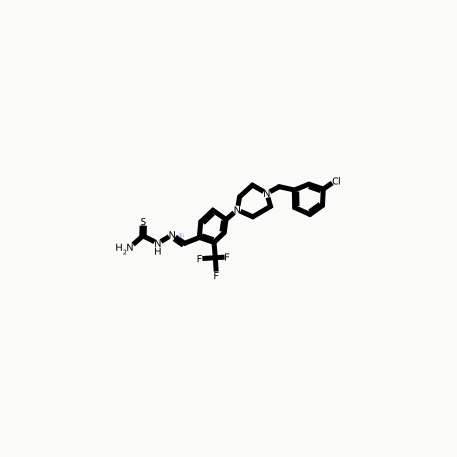 NC(=S)N/N=C/c1ccc(N2CCN(Cc3cccc(Cl)c3)CC2)cc1C(F)(F)F